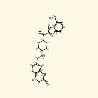 COc1cccc2sc(C(=O)[C@H]3CC[C@H](NCc4ccc5c(n4)NC(=O)CS5)CC3)nc12